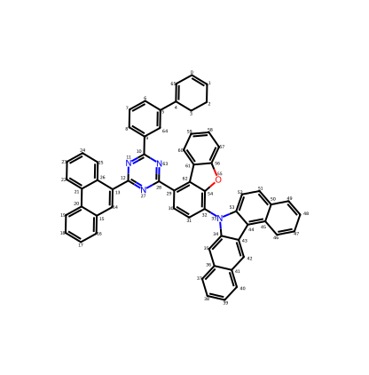 C1=CCCC(c2cccc(-c3nc(-c4cc5ccccc5c5ccccc45)nc(-c4ccc(-n5c6cc7ccccc7cc6c6c7ccccc7ccc65)c5oc6ccccc6c45)n3)c2)=C1